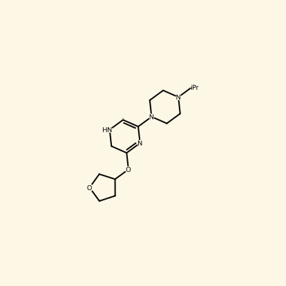 CC(C)N1CCN(C2=[C]NCC(OC3CCOC3)=N2)CC1